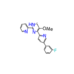 COC1=C(c2ccc(-c3cccc(F)c3)cn2)N=C(c2ccccn2)N[CH]1